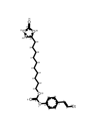 CCC=Cc1ccc(OC(=O)OCCCCCCCCCCc2noc(=O)o2)cc1